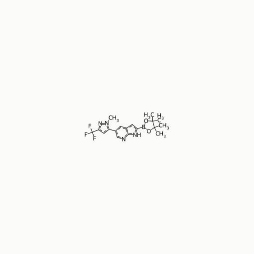 Cn1nc(C(F)(F)F)cc1-c1cnc2[nH]c(B3OC(C)(C)C(C)(C)O3)cc2c1